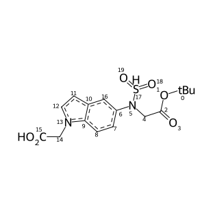 CC(C)(C)OC(=O)CN(c1ccc2c(ccn2CC(=O)O)c1)[SH](=O)=O